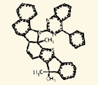 CC1(C)c2ccccc2-c2sc3c(c21)C=CC1c2ccc4ccccc4c2N(c2nc(-c4ccccc4)c4ccccc4n2)C31C